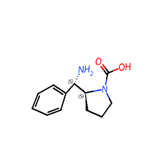 N[C@@H](c1ccccc1)[C@@H]1CCCN1C(=O)O